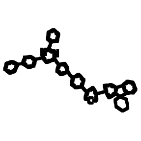 c1ccc(-c2ccc(-c3cc(-c4ccc(-c5ccc(-c6cccc(-c7ccc8c(c7)C7(CCCCC7)c7ccccc7-8)c6)cc5)cc4)nc(-c4ccccc4)n3)cc2)cc1